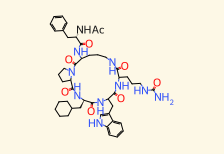 CC(=O)N[C@@H](Cc1ccccc1)C(=O)NC1CCCNC(=O)C(CCCNC(N)=O)NC(=O)C(Cc2c[nH]c3ccccc23)NC(=O)[C@@H](CC2CCCCC2)NC(=O)C2CCCN2C1=O